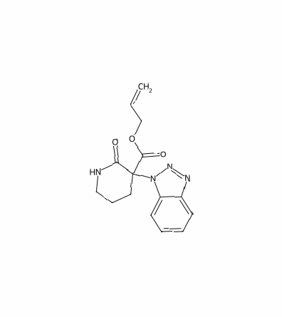 C=CCOC(=O)C1(n2nnc3ccccc32)CCCNC1=O